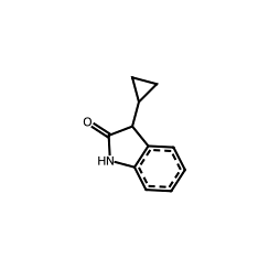 O=C1Nc2ccccc2C1C1CC1